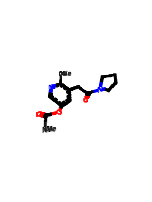 CNC(=O)Oc1cnc(OC)c(CC(=O)N2CCCC2)c1